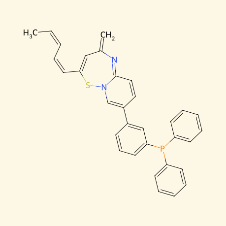 C=C1C=C(/C=C\C=C/C)SN2C=C(c3cccc(P(c4ccccc4)c4ccccc4)c3)C=CC2=N1